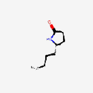 O=C(O)CCC[C@H]1CCC(=O)N1